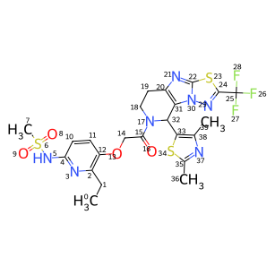 CCc1nc(NS(C)(=O)=O)ccc1OCC(=O)N1CCc2nc3sc(C(F)(F)F)nn3c2C1c1sc(C)nc1C